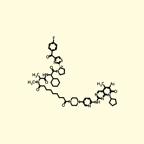 CC(=O)c1c(C)c2cnc(Nc3ccc(N4CCN(C(=O)CCCCCCCC(=O)N(C)C(C)C(=O)NC(C(=O)N5CCC[C@H]5c5nc(C(=O)c6ccc(F)cc6)cs5)C5CCCCC5)CC4)cn3)nc2n(C2CCCC2)c1=O